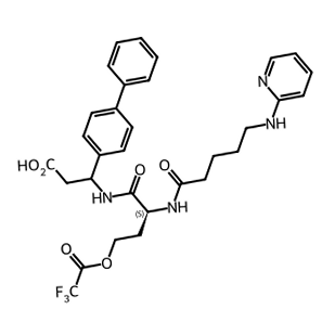 O=C(O)CC(NC(=O)[C@H](CCOC(=O)C(F)(F)F)NC(=O)CCCCNc1ccccn1)c1ccc(-c2ccccc2)cc1